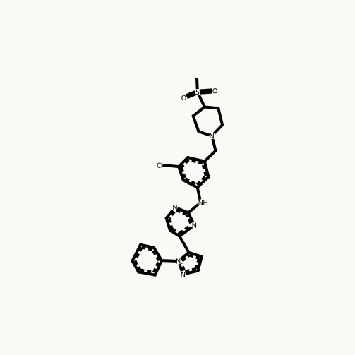 CS(=O)(=O)C1CCN(Cc2cc(Cl)cc(Nc3nccc(-c4ccnn4-c4ccccc4)n3)c2)CC1